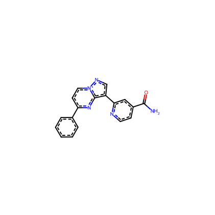 NC(=O)c1ccnc(-c2cnn3ccc(-c4ccccc4)nc23)c1